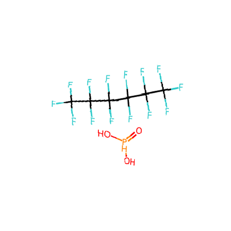 FC(F)(F)C(F)(F)C(F)(F)C(F)(F)C(F)(F)C(F)(F)F.O=[PH](O)O